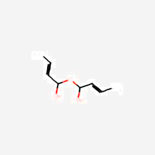 CC=CC(O)OC(O)C=CC